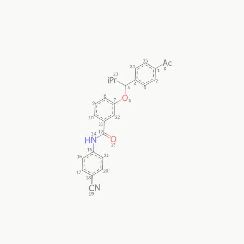 CC(=O)c1ccc(C(Oc2cccc(C(=O)Nc3ccc(C#N)cc3)c2)C(C)C)cc1